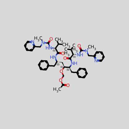 CC(=O)OCO[C@@H](C[C@H](Cc1ccccc1)NC(=O)[C@@H](NC(=O)N(C)Cc1ccccn1)C(C)C)[C@H](Cc1ccccc1)NC(=O)[C@@H](NC(=O)N(C)Cc1ccccn1)C(C)C